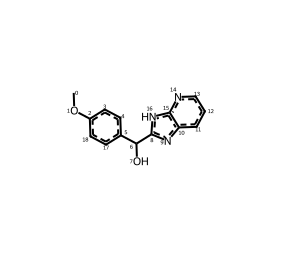 COc1ccc(C(O)c2nc3cccnc3[nH]2)cc1